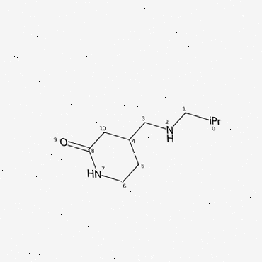 CC(C)CNCC1CCNC(=O)C1